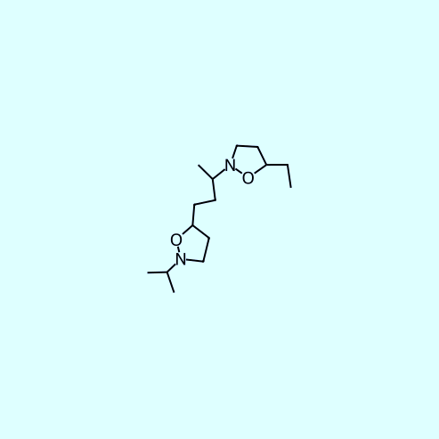 CCC1CCN(C(C)CCC2CCN(C(C)C)O2)O1